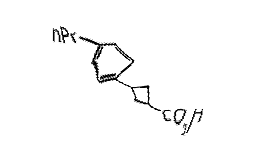 CCCc1ccc(C2CC(C(=O)O)C2)cc1